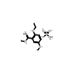 CCOc1ccc(OC)cc1C(=N)OC.O=S(=O)(O)F